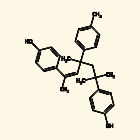 C/C(=C/C(C)(CC(C)(C)c1ccc(O)cc1)c1ccc(C)cc1)c1ccc(O)cc1